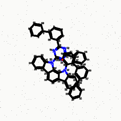 c1ccc(-c2cccc(-c3nc(-c4ccccc4)nc(-n4c5ccccc5c5ccc6c7ccccc7n(-c7ccccc7-c7cccc(-c8ccccc8)c7)c6c54)n3)c2)cc1